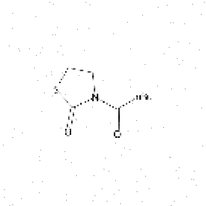 CCCCC(=O)N1CCSC1=O